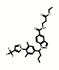 CCCC(c1cc(C)c(-n2cc(C(F)(F)F)cn2)c(C)c1)n1ncc2cc(C(=O)NCCC(=O)OCC)ccc21